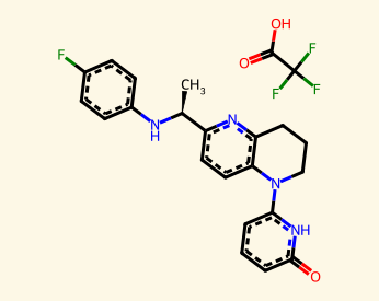 C[C@H](Nc1ccc(F)cc1)c1ccc2c(n1)CCCN2c1cccc(=O)[nH]1.O=C(O)C(F)(F)F